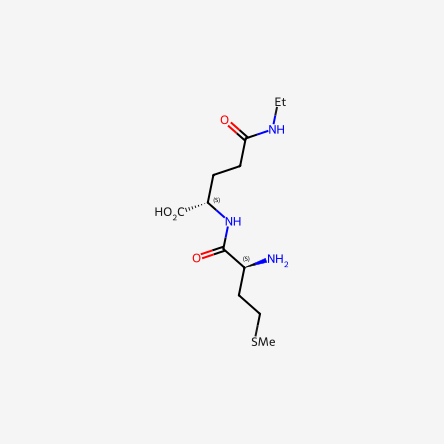 CCNC(=O)CC[C@H](NC(=O)[C@@H](N)CCSC)C(=O)O